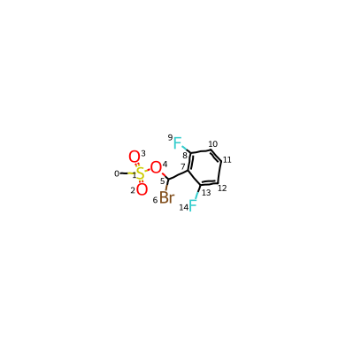 CS(=O)(=O)OC(Br)c1c(F)cccc1F